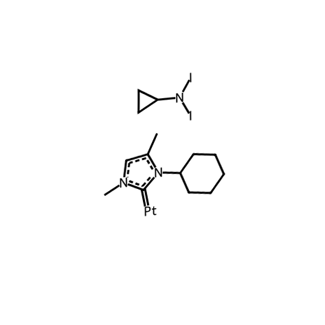 Cc1cn(C)[c](=[Pt])n1C1CCCCC1.IN(I)C1CC1